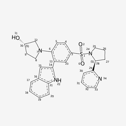 O=S(=O)(c1ccc(N2CC[C@H](O)C2)c(-c2cc3ccccc3[nH]2)c1)N1CCC[C@H]1c1ccccn1